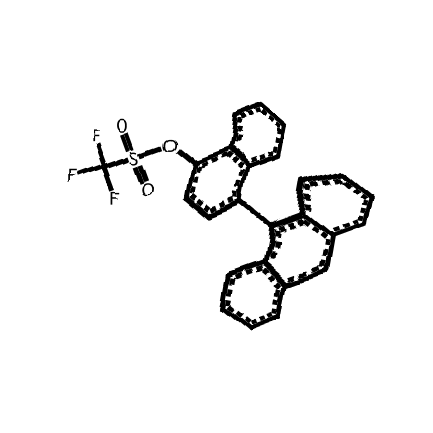 O=S(=O)(Oc1ccc(-c2c3ccccc3cc3ccccc23)c2ccccc12)C(F)(F)F